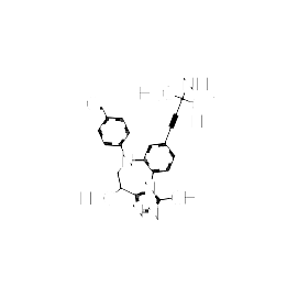 Cc1nnc2n1-c1ccc(C#CC(C)(C)N)cc1N(c1ccc(Cl)cc1)CC2C